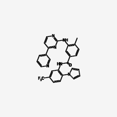 Cc1ccc(C(=O)Nc2cc(C(F)(F)F)ccc2-n2cccc2)cc1Nc1nccc(-c2cccnc2)n1